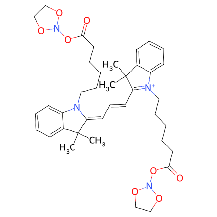 CC1(C)C(=CC=CC2=[N+](CCCCCC(=O)ON3OCCO3)c3ccccc3C2(C)C)N(CCCCCC(=O)ON2OCCO2)c2ccccc21